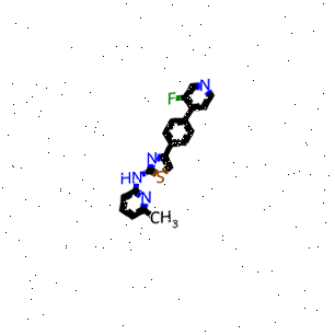 Cc1cccc(Nc2nc(-c3ccc(-c4ccncc4F)cc3)cs2)n1